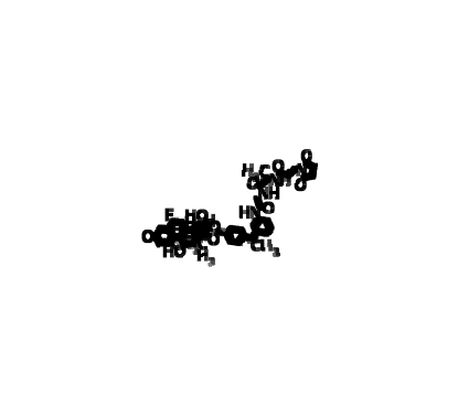 C[C@@H](c1ccc([C@@H]2O[C@@H]3C[C@H]4[C@@H]5C[C@H](F)C6=CC(=O)C=C[C@]6(C)[C@@]5(F)[C@@H](O)C[C@]4(C)[C@]3(C(=O)CO)O2)cc1)c1cccc(NC(=O)CNC(=O)[C@H](C)NC(=O)CCN2C(=O)C=CC2=O)c1